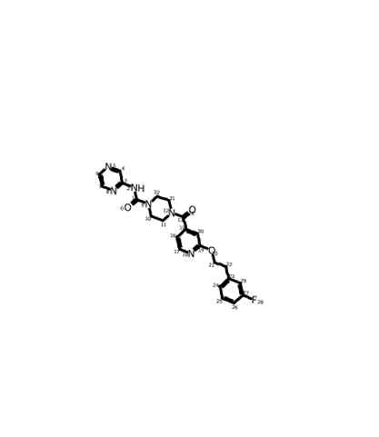 O=C(Nc1cnccn1)N1CCN(C(=O)c2ccnc(OCCc3cccc(F)c3)c2)CC1